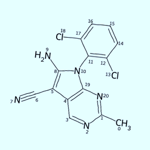 Cc1ncc2c(C#N)c(N)n(-c3c(Cl)cccc3Cl)c2n1